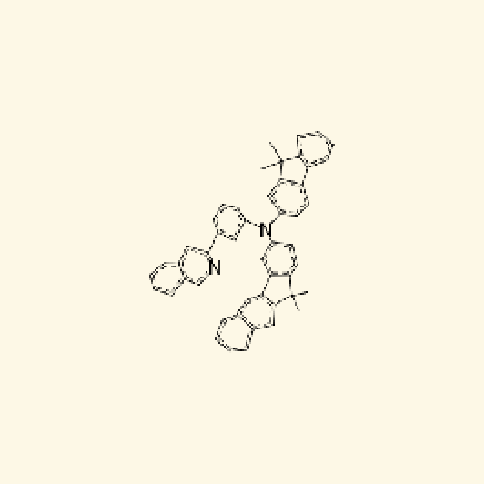 CC1(C)c2ccccc2-c2ccc(N(c3cccc(-c4cc5ccccc5cn4)c3)c3ccc4c(c3)-c3cc5ccccc5cc3C4(C)C)cc21